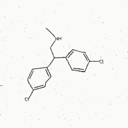 CNCC(c1ccc(Cl)cc1)c1ccc(Cl)cc1